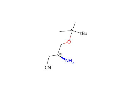 CC(C)(C)[Si](C)(C)OC[C@@H](N)CC#N